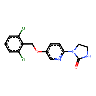 O=C1NCCN1c1ccc(OCc2c(Cl)cccc2Cl)cn1